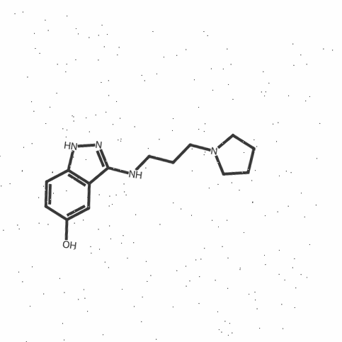 Oc1ccc2[nH]nc(NCCCN3CCCC3)c2c1